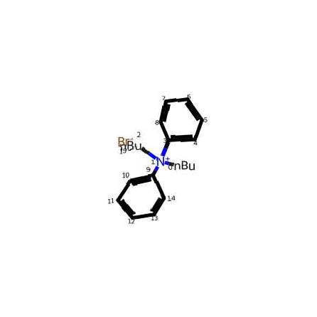 CCCC[N+](CCCC)(c1ccccc1)c1ccccc1.[Br-]